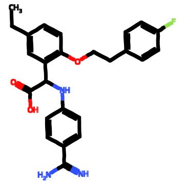 CCc1ccc(OCCc2ccc(F)cc2)c(C(Nc2ccc(C(=N)N)cc2)C(=O)O)c1